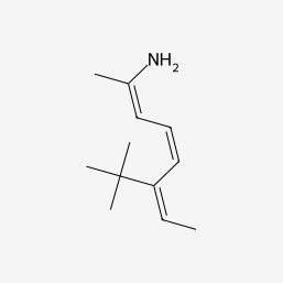 C\C=C(/C=C\C=C(\C)N)C(C)(C)C